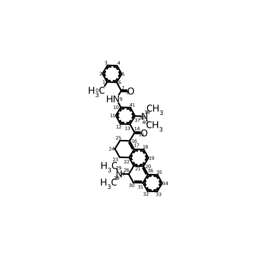 Cc1ccccc1C(=O)Nc1ccc(C(=O)C2=c3ccc4c(c3CCC2)C(N(C)C)C=c2ccccc2=4)c(N(C)C)c1